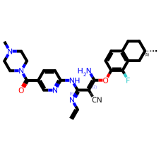 C=C/N=C(Nc1ccc(C(=O)N2CCN(C)CC2)cn1)\C(C#N)=C(/N)Oc1ccc2c(c1F)C[C@@H](C)CC2